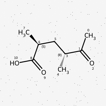 CC(=O)[C@H](C)C[C@H](C)C(=O)O